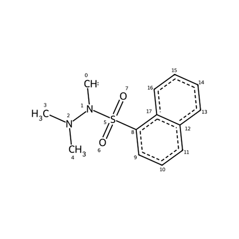 [CH]N(N(C)C)S(=O)(=O)c1cccc2ccccc12